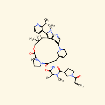 C=CC(=O)N1CC[C@H](C(=O)N(C)C(C(=O)N[C@H]2CC3=CCCN(C3)c3cnc4c(c3)c(c(-c3cccnc3[C@H](C)OC)n4CC)CC(C)(C)COC(=O)[C@@H]3CCCN(N3)C2=O)C(C)C)C1